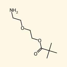 CC(C)(C)C(=O)OCCOCCN